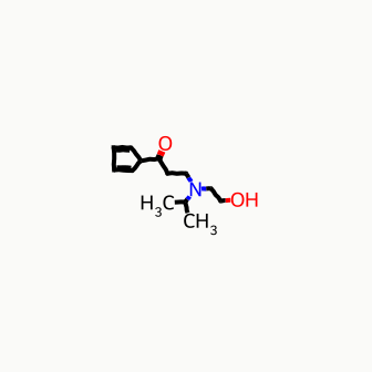 CC(C)N(CCO)CCC(=O)C1C=CC=C1